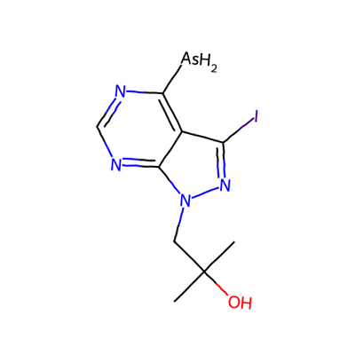 CC(C)(O)Cn1nc(I)c2c([AsH2])ncnc21